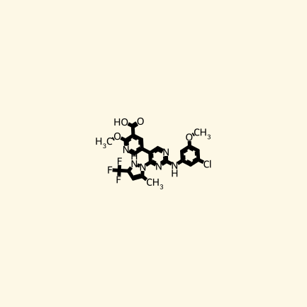 COc1cc(Cl)cc(Nc2ncc(-c3cnc(OC)c(C(=O)O)c3)c(N3NC(C(F)(F)F)C=C3C)n2)c1